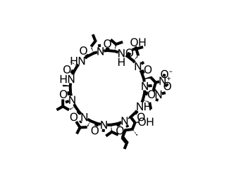 C/C=C/C[C@@H](C)[C@@H](O)[C@H]1C(=O)N[C@@H](CC)C(=O)N(C)[C@H](CC(CN(C)C)[N+](=O)[O-])C(=O)N(C)[C@@H](CC(C)(C)O)C(=O)N[C@@H](C(C)C)C(=O)N(C)[C@@H](CCC)C(=O)N[C@@H](C)C(=O)N[C@H](C)C(=O)N(C)[C@@H](CC(C)C)C(=O)N(C)[C@@H](CC(C)C)C(=O)N(C)[C@@H](C(C)C)C(=O)N1C